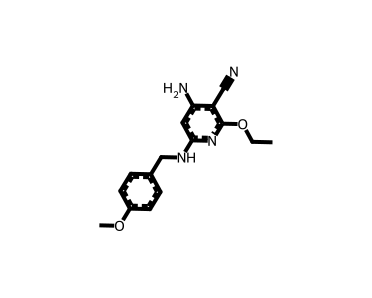 CCOc1nc(NCc2ccc(OC)cc2)cc(N)c1C#N